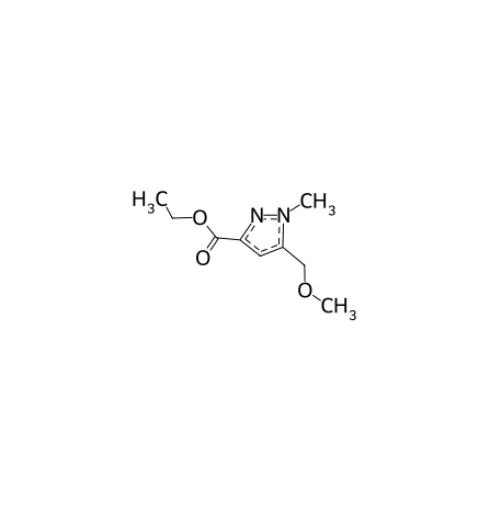 CCOC(=O)c1cc(COC)n(C)n1